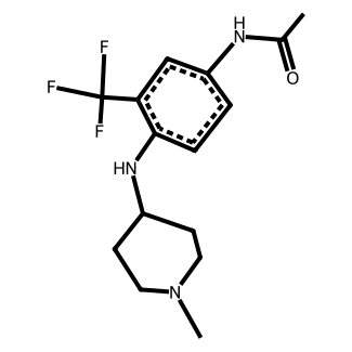 CC(=O)Nc1ccc(NC2CCN(C)CC2)c(C(F)(F)F)c1